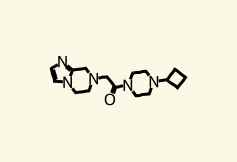 O=C(CN1CCn2ccnc2C1)N1CCN(C2CCC2)CC1